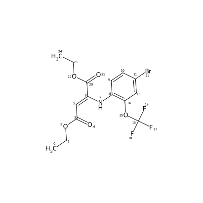 CCOC(=O)/C=C(\Nc1ccc(Br)cc1OC(F)(F)F)C(=O)OCC